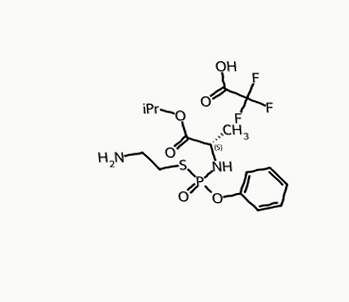 CC(C)OC(=O)[C@H](C)NP(=O)(Oc1ccccc1)SCCN.O=C(O)C(F)(F)F